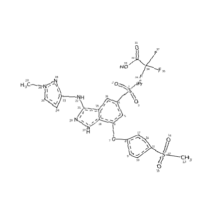 CC(C)S(=O)(=O)c1cc(Oc2ccc(S(C)(=O)=O)cc2)c2[nH]nc(Nc3ccn(C)n3)c2c1.O=C(O)C(F)(F)F